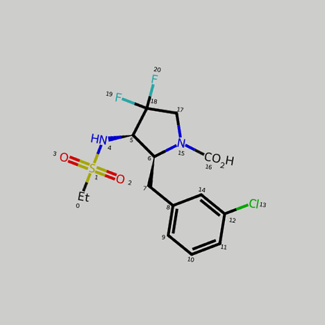 CCS(=O)(=O)N[C@@H]1[C@H](Cc2cccc(Cl)c2)N(C(=O)O)CC1(F)F